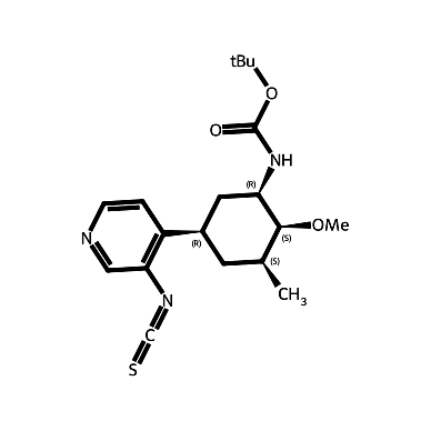 CO[C@H]1[C@@H](C)C[C@@H](c2ccncc2N=C=S)C[C@H]1NC(=O)OC(C)(C)C